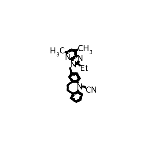 CCc1nc2c(C)cc(C)nc2n1Cc1ccc2c(c1)CCc1ccccc1N2CC#N